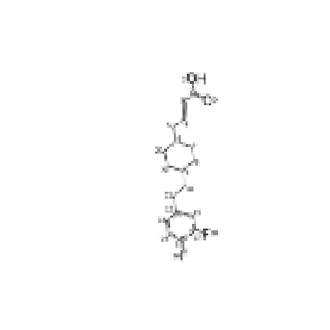 O=C(O)/C=C/C[C@H]1CC[C@H](CCc2ccc(F)c(F)c2)CC1